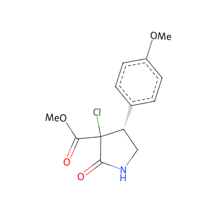 COC(=O)C1(Cl)C(=O)NC[C@H]1c1ccc(OC)cc1